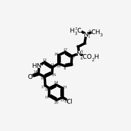 CN(C)CCN(C(=O)O)c1ccc(-c2c[nH]c(=O)c(Cc3ccc(Cl)cc3)c2)cc1